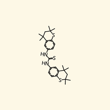 CC1(C)CC(C)(C)c2cc(NC(=S)Nc3ccc4c(c3)C(C)(C)CC(C)(C)S4)ccc2S1